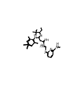 CCC(N=C(CC(=N)NCSc1cccc(NC)n1)NC1=C(C)CC(C)(C)C=C1C)C(C)(C)C